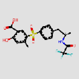 Cc1cc(O)c(C(=O)O)cc1S(=O)(=O)c1ccc(C[C@@H](C)NC(=O)C(F)(F)F)cc1